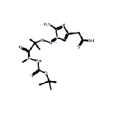 CN(NC(=O)OC(C)(C)C)C(=O)C(C)(C)O/N=S1/C=C(CC(=O)O)N=C1N